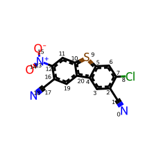 N#Cc1cc2c(cc1Cl)sc1cc([N+](=O)[O-])c(C#N)cc12